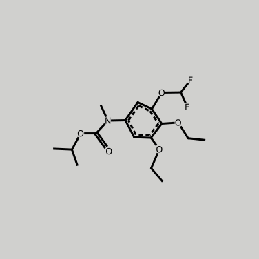 CCOc1cc(N(C)C(=O)OC(C)C)cc(OC(F)F)c1OCC